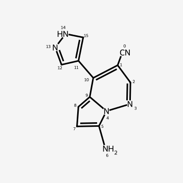 N#Cc1cnn2c(N)ccc2c1-c1cn[nH]c1